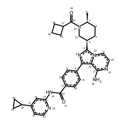 C[C@H]1CC[C@@H](c2nc(-c3ccc(C(=O)Nc4cc(C5CC5)ccn4)cc3)c3c(N)nccn23)CN1C(=O)C1CCC1